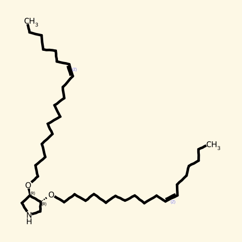 CCCCCC/C=C\CCCCCCCCCCO[C@@H]1CNC[C@H]1OCCCCCCCCCC/C=C\CCCCCC